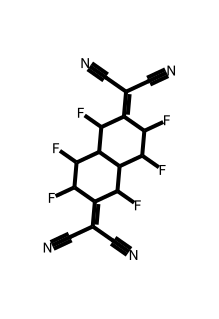 N#CC(C#N)=C1C(F)C(F)C2C(F)C(=C(C#N)C#N)C(F)C(F)C2C1F